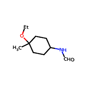 CCOC1(C)CCC(NC=O)CC1